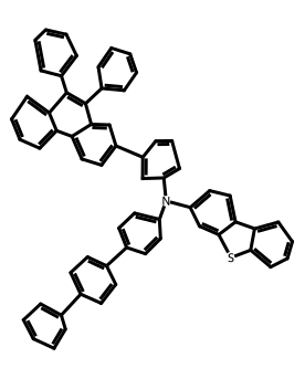 c1ccc(-c2ccc(-c3ccc(N(c4cccc(-c5ccc6c(c5)c(-c5ccccc5)c(-c5ccccc5)c5ccccc56)c4)c4ccc5c(c4)sc4ccccc45)cc3)cc2)cc1